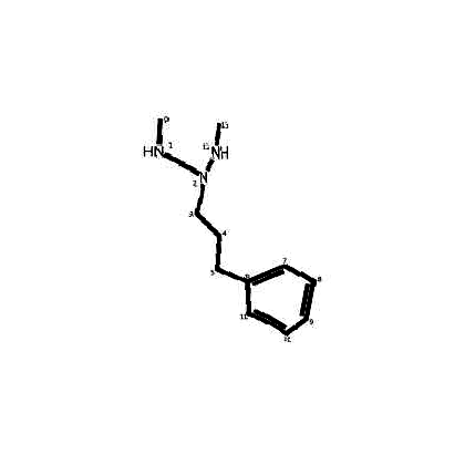 CNN(CCCc1ccccc1)NC